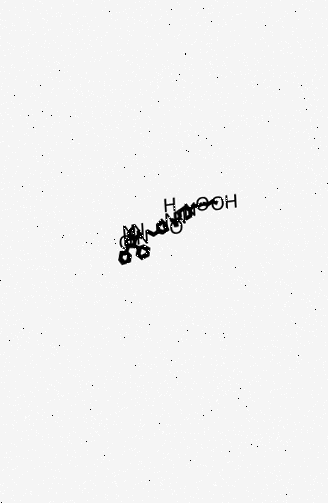 O=C(Nc1ccc(CCNc2ncnc3oc(-c4ccccc4)c(-c4ccccc4)c23)cc1)N1CCN(CCOCCO)CC1